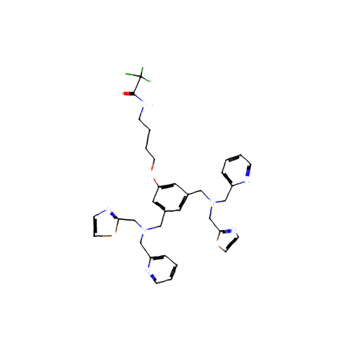 O=C(NCCCCOc1cc(CN(Cc2ccccn2)Cc2nccs2)cc(CN(Cc2ccccn2)Cc2nccs2)c1)C(F)(F)F